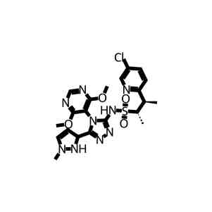 COc1ncnc(OC)c1-n1c(NS(=O)(=O)[C@@H](C)[C@H](C)c2ccc(Cl)cn2)nnc1C1C=CN(C)N1